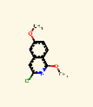 COc1ccc2c(OC)nc(Cl)cc2c1